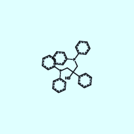 OC(CP(c1ccccc1)c1ccccc1)(CP(c1ccccc1)c1ccccc1)c1ccccc1